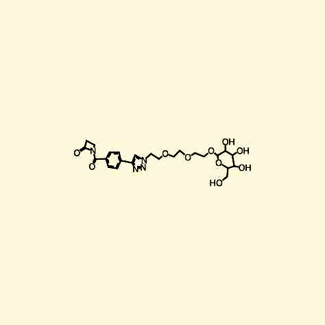 O=C1CCN1C(=O)c1ccc(-c2cn(CCOCCOCCOC3OC(CO)C(O)C(O)C3O)nn2)cc1